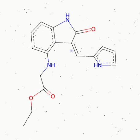 CCOC(=O)CNc1cccc2c1/C(=C/c1ccc[nH]1)C(=O)N2